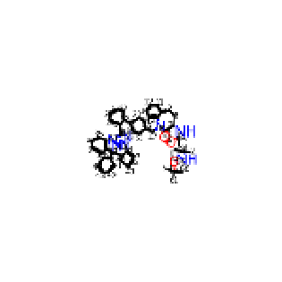 CC(C)(CC(=O)N[C@@H]1CCc2ccccc2N(CC2CCC(c3ccccc3-c3nnn(C(c4ccccc4)(c4ccccc4)c4ccccc4)n3)CC2)C1=O)NOC(C)(C)C